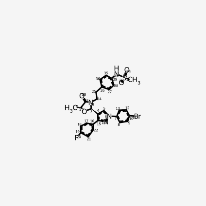 C[C@@H]1O[C@H](c2cn(-c3ccc(Br)cc3)nc2-c2ccc(F)cc2)N(CCc2ccc(NS(C)(=O)=O)cc2)C1=O